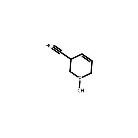 C#CC1C=CCP(C)C1